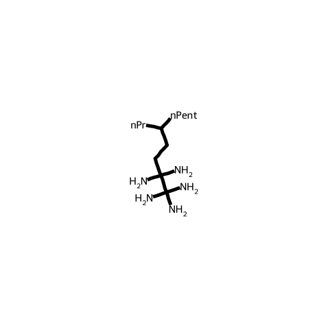 CCCCCC(CCC)CCC(N)(N)C(N)(N)N